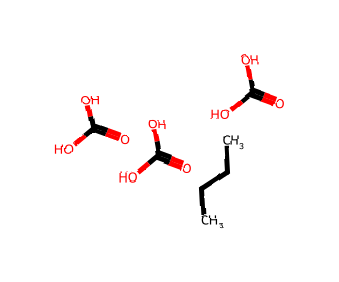 CCCC.O=C(O)O.O=C(O)O.O=C(O)O